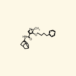 Cn1ncc(C(=O)NC2C3CC4CC(C3)CC2C4)c1OCCCCc1ccccc1